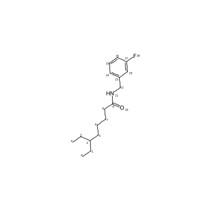 CCC(CC)CCCCC(=O)NCc1cccc(F)c1